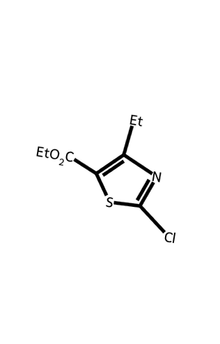 CCOC(=O)c1sc(Cl)nc1CC